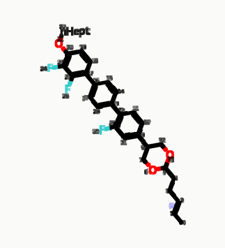 C/C=C/CCC1OCC(c2ccc(-c3ccc(-c4ccc(OCCCCCCC)c(F)c4F)cc3)c(F)c2)CO1